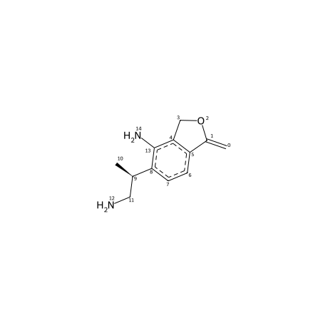 C=C1OCc2c1ccc([C@H](C)CN)c2N